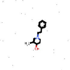 CC1CN(CCc2ccccc2)CCC1O